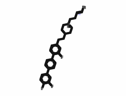 CC/C=C/CC[SiH]1CCC(CCc2ccc(-c3ccc(-c4ccc(F)c(F)c4)cc3)c(F)c2)CC1